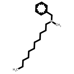 CCCCCCCCCCCN(C)Cc1ccccc1